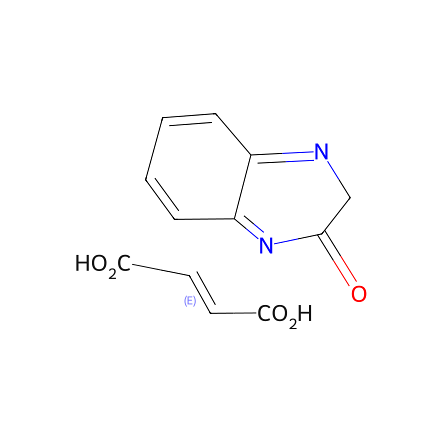 O=C(O)/C=C/C(=O)O.O=C1CN=c2ccccc2=N1